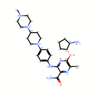 CCc1nc(C(N)=O)c(Nc2ccc(N3CCC(N4CCN(C)CC4)CC3)cc2)nc1O[C@@H]1CCC[C@H]1N